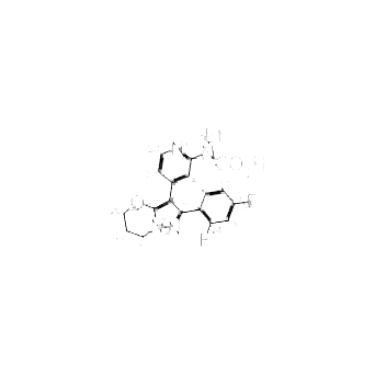 CCN(C(=O)O)c1cc(-c2c(-c3ccc(F)cc3F)nn3c2OCCC3)ccn1